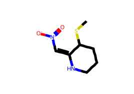 CSC1CCCNC1=C[N+](=O)[O-]